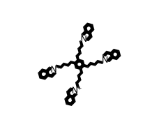 c1ccc2c[n+](CCCCCc3cc(CCCCC[n+]4ccc5ccccc5c4)c(CCCCC[n+]4ccc5ccccc5c4)cc3CCCCC[n+]3ccc4ccccc4c3)ccc2c1